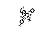 COc1ccc(S(=O)(=O)N(C[C@@H](O)[C@H](Cc2ccccc2)NC(=O)OC(C)(C)C)CC2(CCC#N)CCCC2)cc1